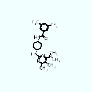 Cc1nc(N[C@H]2CC[C@@H](NC(=O)c3cc(C(F)(F)F)cc(C(F)(F)F)c3)CC2)nc(N(C)C)c1C